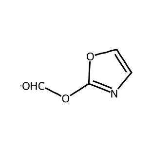 O=[C]Oc1ncco1